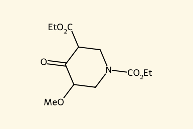 CCOC(=O)C1CN(C(=O)OCC)CC(OC)C1=O